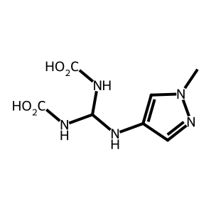 Cn1cc(NC(NC(=O)O)NC(=O)O)cn1